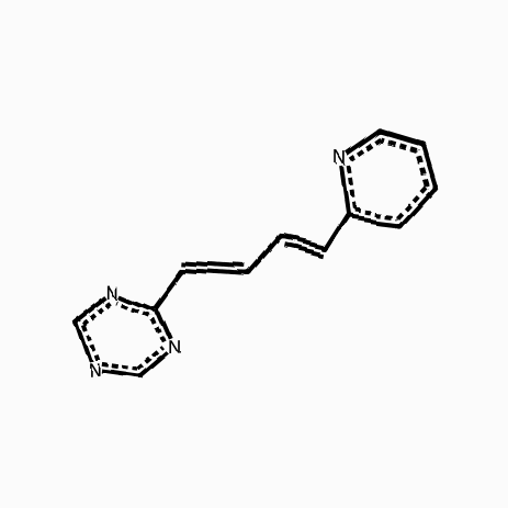 C(C=Cc1ncncn1)=Cc1ccccn1